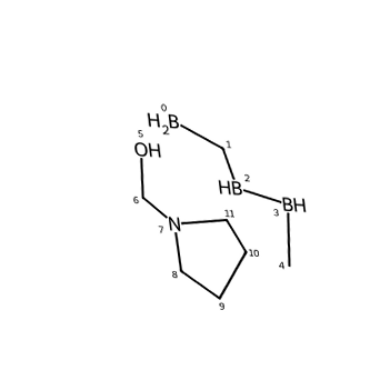 BCBBC.OCN1CCCC1